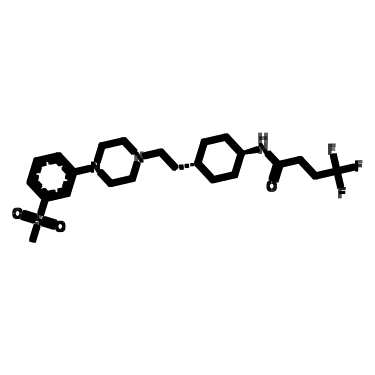 CS(=O)(=O)c1cccc(N2CCN(CC[C@H]3CC[C@H](NC(=O)CCC(F)(F)F)CC3)CC2)c1